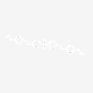 COc1ccc(C=Nc2ccc(S(=O)(=O)c3ccc(N=Cc4ccc(OC)cc4)cc3)cc2)cc1